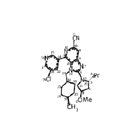 CO[C@@H]1C[C@@H](C(C)C)N(c2nc3cc(C#N)nc(-c4cncc(Cl)c4)c3n2CC2CCC(C)CC2)C1